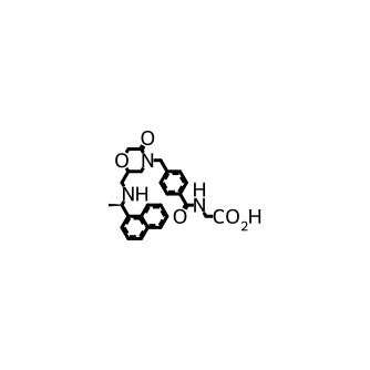 C[C@@H](NCC1CN(Cc2ccc(C(=O)NCC(=O)O)cc2)C(=O)CO1)c1cccc2ccccc12